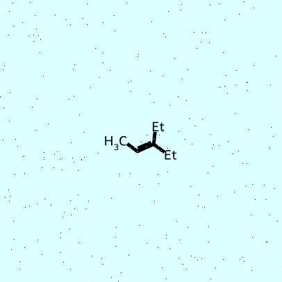 [CH2]CC(=CC)CC